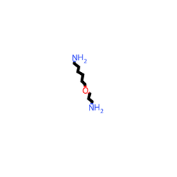 NCCCCCCOCCCN